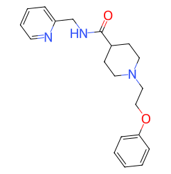 O=C(NCc1ccccn1)C1CCN(CCOc2ccccc2)CC1